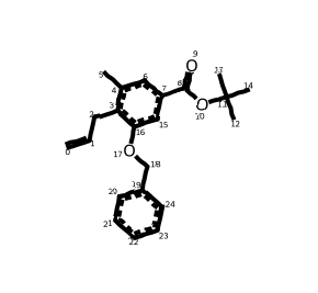 C=CCc1c(C)cc(C(=O)OC(C)(C)C)cc1OCc1ccccc1